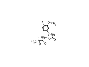 COc1cc(C2NC(=O)CC2NC(=O)C(C)(F)F)ccc1F